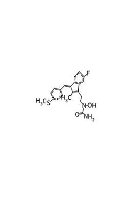 CSc1ccc(/C=C2\C(C)=C(CCN(O)C(N)=O)c3cc(F)ccc32)cc1